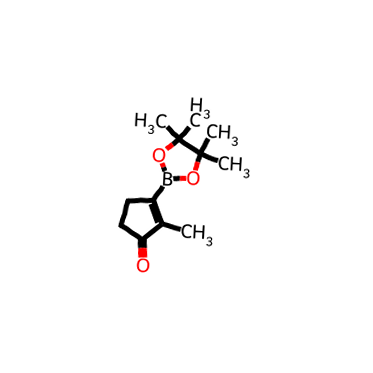 CC1=C(B2OC(C)(C)C(C)(C)O2)CCC1=O